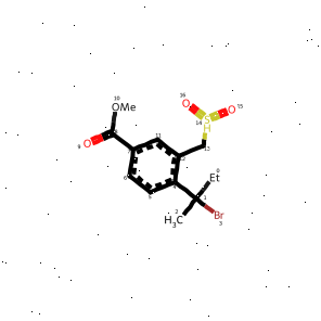 CCC(C)(Br)c1ccc(C(=O)OC)cc1C[SH](=O)=O